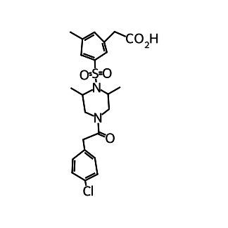 Cc1cc(CC(=O)O)cc(S(=O)(=O)N2C(C)CN(C(=O)Cc3ccc(Cl)cc3)CC2C)c1